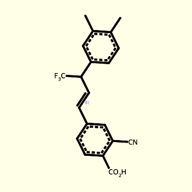 Cc1ccc(C(/C=C/c2ccc(C(=O)O)c(C#N)c2)C(F)(F)F)cc1C